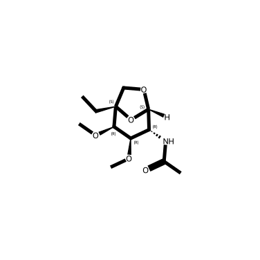 CC[C@@]12CO[C@@H](O1)[C@H](NC(C)=O)[C@@H](OC)[C@H]2OC